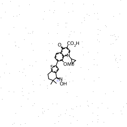 COc1c(-c2cc3c(s2)CCC(C)(C)/C3=N\O)ccc2c(=O)c(C(=O)O)cn(C3CC3)c12